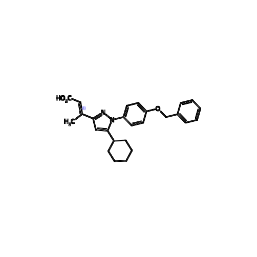 C/C(=C\C(=O)O)c1cc(C2CCCCC2)n(-c2ccc(OCc3ccccc3)cc2)n1